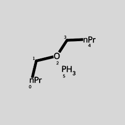 CCCCOCCCC.P